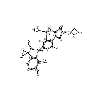 Cc1cc(NC(=O)C2(c3ccc(F)c(Cl)c3)CC2)cc(C(=O)O)c1-c1cnn(C2CCC2)c1